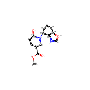 BOC(=O)c1ccc(=O)n(-c2cccc3ocnc23)c1